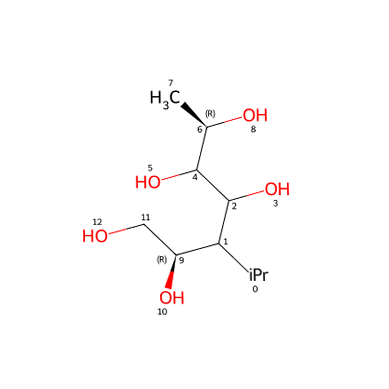 CC(C)C(C(O)C(O)[C@@H](C)O)[C@@H](O)CO